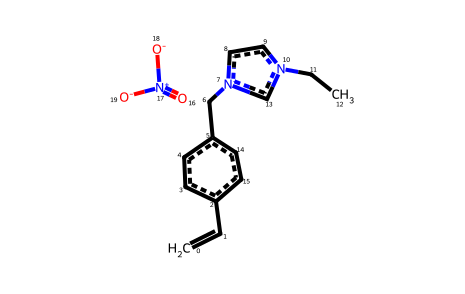 C=Cc1ccc(C[n+]2ccn(CC)c2)cc1.O=[N+]([O-])[O-]